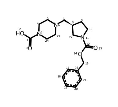 O=C(O)N1CCN(C[C@H]2CCN(C(=O)OCc3ccccc3)C2)CC1